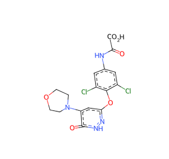 O=C(O)C(=O)Nc1cc(Cl)c(Oc2cc(N3CCOCC3)c(=O)[nH]n2)c(Cl)c1